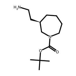 CC(C)(C)OC(=O)N1CCCC[C@H](CCN)C1